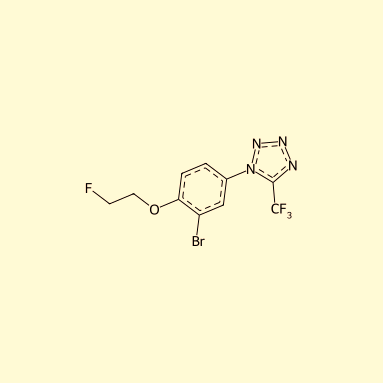 FCCOc1ccc(-n2nnnc2C(F)(F)F)cc1Br